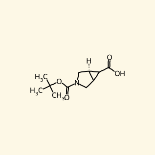 CC(C)(C)OC(=O)N1CC2C(C(=O)O)[C@@H]2C1